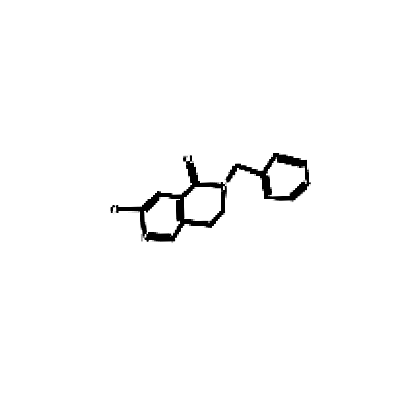 O=C1c2cc(Cl)ncc2CCN1Cc1ccccc1